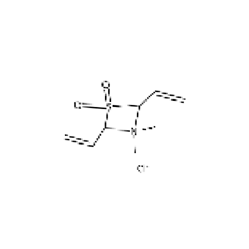 C=CC1[N+](C)(C)C(C=C)S1(=O)=O.[Cl-]